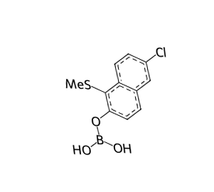 CSc1c(OB(O)O)ccc2cc(Cl)ccc12